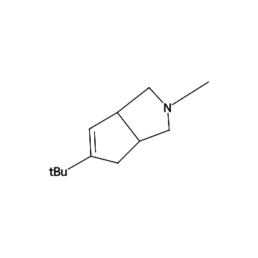 CN1CC2C=C(C(C)(C)C)CC2C1